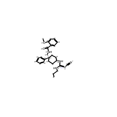 CCCN/C(=N/C#N)N[C@H]1CC[C@@](CNC(=O)c2ccccc2OC)(c2ccccc2)CC1